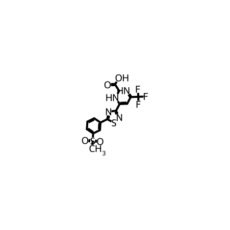 CS(=O)(=O)c1cccc(-c2nc(/C(=C/C(=N)C(F)(F)F)NCC(=O)O)ns2)c1